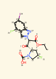 CCOC(=O)C(C(=O)[C@@H]1C[C@@H](F)CN1C(=O)O)n1cc2c(F)cc(I)cc2n1